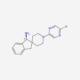 N[C@@H]1c2ccccc2CC12CCN(c1cnc(Br)cn1)CC2